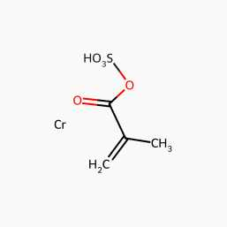 C=C(C)C(=O)OS(=O)(=O)O.[Cr]